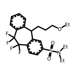 CCOCCCC1c2ccccc2C(F)(F)C(F)(F)c2ccc(S(=O)(=O)N(CC)CC)cc21